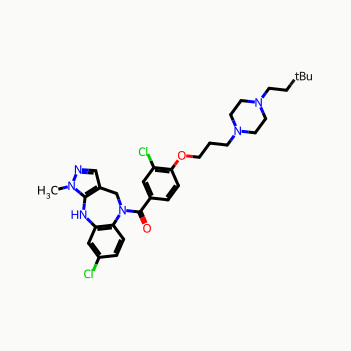 Cn1ncc2c1Nc1cc(Cl)ccc1N(C(=O)c1ccc(OCCCN3CCN(CCC(C)(C)C)CC3)c(Cl)c1)C2